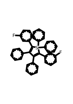 Fc1cccc(C2=C(c3ccccc3)C(c3ccccc3)=C(c3cccc(F)c3)[Si]2(c2ccccc2)c2ccccc2)c1